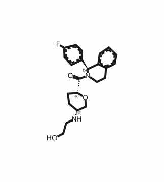 O=C([C@H]1CC[C@@H](NCCO)CO1)N1CCc2ccccc2[C@@H]1c1ccc(F)cc1